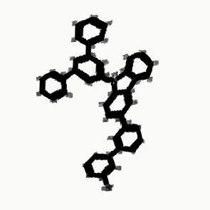 Brc1cccc(-c2cccc(-c3ccc4c(c3)c3ccccc3n4-c3cc(-c4ccccc4)cc(-c4ccccc4)c3)c2)c1